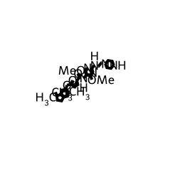 COc1nc(NCCN2CCNCC2)nc(OC)c1NC(=O)c1ccc(Oc2cc3c(cc2C)CCC3(C)C)o1